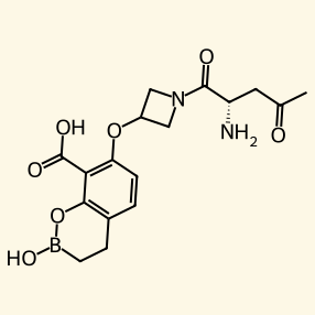 CC(=O)C[C@H](N)C(=O)N1CC(Oc2ccc3c(c2C(=O)O)OB(O)CC3)C1